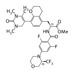 COC(=O)[C@H](Cc1ccc(C2=C(C)N(C)C(=O)N(C)C2)c2c1CCCO2)NC(=O)c1c(F)cc(N2CCOC[C@@H]2C(F)(F)F)cc1F